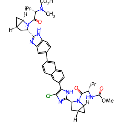 COC(=O)N[C@H](C(=O)N1[C@@H]2C[C@@H]2C[C@H]1c1nc(Cl)c(-c2ccc3cc(-c4ccc5[nH]c([C@@H]6C[C@H]7C[C@H]7N6C(=O)[C@H](C(C)C)N(C)C(=O)O)nc5c4)ccc3c2)[nH]1)C(C)C